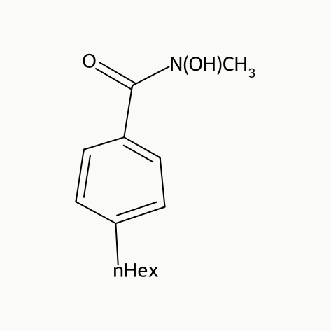 CCCCCCc1ccc(C(=O)N(C)O)cc1